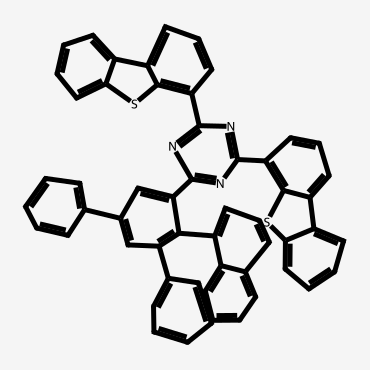 c1ccc(-c2cc(-c3ccccc3)c(-c3cccc4ccccc34)c(-c3nc(-c4cccc5c4sc4ccccc45)nc(-c4cccc5c4sc4ccccc45)n3)c2)cc1